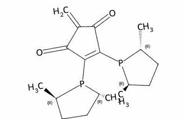 C=C1C(=O)C(P2[C@H](C)CC[C@H]2C)=C(P2[C@H](C)CC[C@H]2C)C1=O